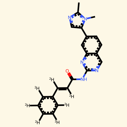 [2H]/C(C(=O)Nc1ncc2ccc(-c3cnc(C)n3C)cc2n1)=C(/[2H])c1c([2H])c([2H])c([2H])c([2H])c1[2H]